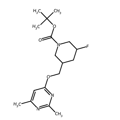 Cc1cc(OCC2CC(F)CN(C(=O)OC(C)(C)C)C2)nc(C)n1